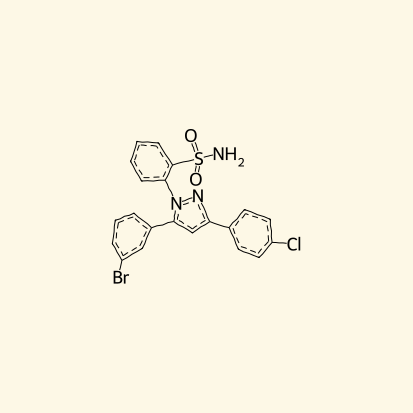 NS(=O)(=O)c1ccccc1-n1nc(-c2ccc(Cl)cc2)cc1-c1cccc(Br)c1